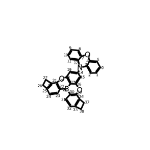 c1ccc2c(c1)Oc1ccccc1N2c1cc2c3c(c1)Oc1c(ccc4c1CC4)B3c1ccc3c(c1O2)CC3